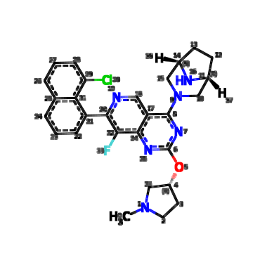 CN1CC[C@@H](Oc2nc(N3C[C@H]4CC[C@@H](C3)N4)c3cnc(-c4cccc5cccc(Cl)c45)c(F)c3n2)C1